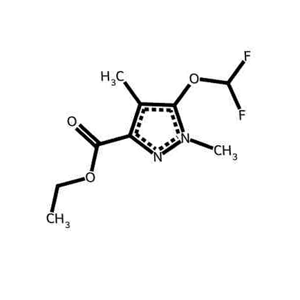 CCOC(=O)c1nn(C)c(OC(F)F)c1C